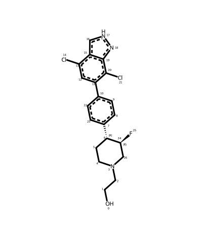 OCCN1CC[C@H](c2ccc(-c3cc(Cl)c4c[nH]nc4c3Cl)cc2)[C@@H](F)C1